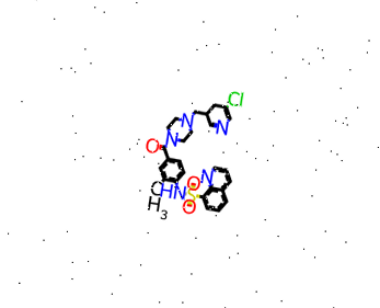 Cc1cc(C(=O)N2CCN(CC3C=NC=C(Cl)C3)CC2)ccc1NS(=O)(=O)c1cccc2cccnc12